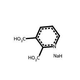 O=C(O)c1cccnc1C(=O)O.[NaH]